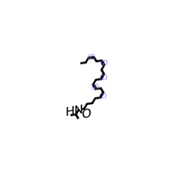 CC/C=C\C/C=C\C/C=C\C/C=C\C/C=C\CCCC(=O)NC(C)C